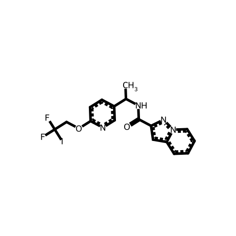 CC(NC(=O)c1cc2ccccn2n1)c1ccc(OCC(F)(F)I)nc1